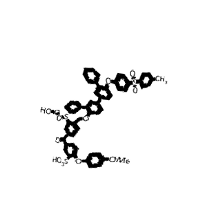 COc1ccc(Oc2ccc(C(=O)c3ccc(COc4ccc(-c5ccc(Oc6ccc(S(=O)(=O)c7ccc(C)cc7)cc6)c(-c6ccccc6)c5)cc4-c4ccccc4)c(SOOO)c3)cc2S(=O)(=O)O)cc1